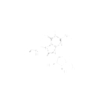 Nc1nc2c(c(=O)[nH]1)n(CNC=O)c(=O)n2[C@@H]1O[C@H](CO)[C@@H](O)[C@H]1O